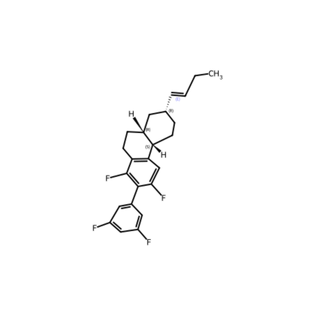 CC/C=C/[C@@H]1CC[C@@H]2c3cc(F)c(-c4cc(F)cc(F)c4)c(F)c3CC[C@@H]2C1